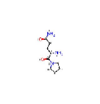 NC(=O)CC[C@H](N)C(=O)N1CCCC1